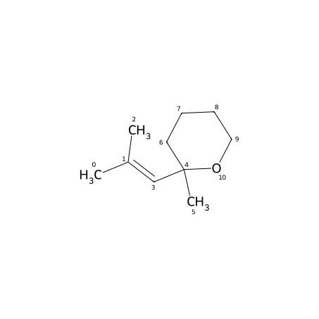 CC(C)=CC1(C)CCCCO1